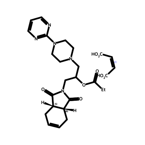 CCC(=O)OC(CN1CCN(c2ncccn2)CC1)CN1C(=O)[C@H]2CC=CC[C@H]2C1=O.O=C(O)/C=C\C(=O)O